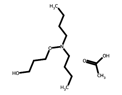 CC(=O)O.CCCCN(CCCC)OCCCO